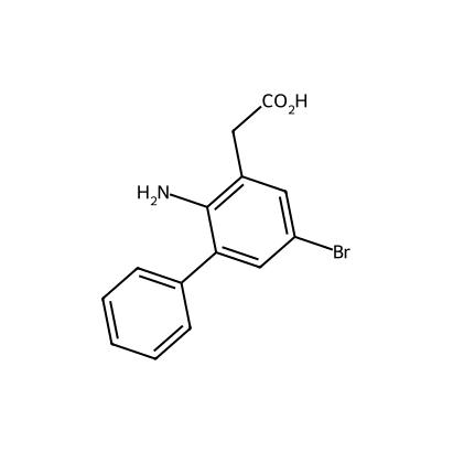 Nc1c(CC(=O)O)cc(Br)cc1-c1ccccc1